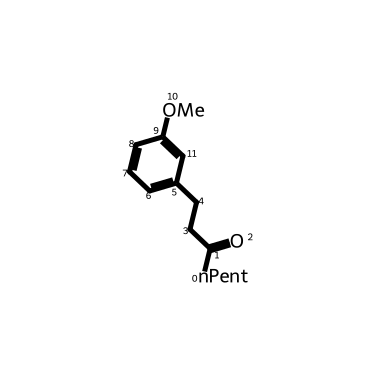 CCCCCC(=O)CCc1cccc(OC)c1